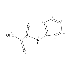 O=CC(=O)C(=O)Nc1ccccc1